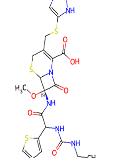 CCNC(=O)NC(C(=O)N[C@]1(OC)C(=O)N2C(C(=O)O)=C(CSc3cnn[nH]3)CSC21)c1cccs1